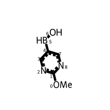 COc1ncc(BO)cn1